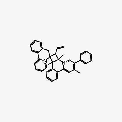 C=CC1C2(C)[n+]3cc(-c4ccccc4)c(C)cc3-c3ccccc3C2(C)C12Cc1ccccc1-c1cccc[n+]12